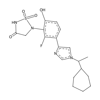 CC(C1CCCCC1)n1cnc(-c2ccc(O)c(N3CC(=O)NS3(=O)=O)c2F)c1